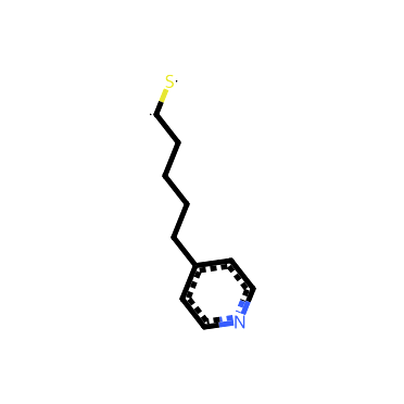 [S][CH]CCCCc1ccncc1